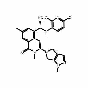 Cc1cc([C@@H](C)Nc2ccc(Cl)nc2C(=O)O)c2nc(N3Cc4cnn(C)c4C3)n(C)c(=O)c2c1